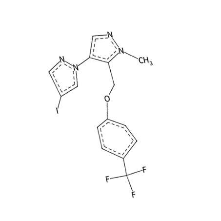 Cn1ncc(-n2cc(I)cn2)c1COc1ccc(C(F)(F)F)cc1